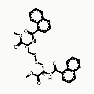 COC(=O)[C@H](CSSC[C@H](NC(=O)c1cccc2ccccc12)C(=O)OC)NC(=O)c1cccc2ccccc12